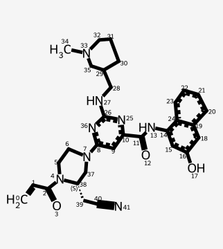 C=CC(=O)N1CCN(c2cc(C(=O)Nc3cc(O)cc4ccccc34)nc(NCC3CCCN(C)C3)n2)C[C@@H]1CC#N